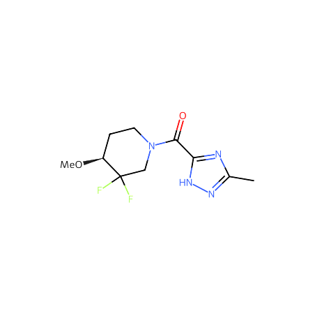 CO[C@H]1CCN(C(=O)c2nc(C)n[nH]2)CC1(F)F